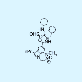 CCCc1cn2c3c(cc(C(=O)N[C@@H](Cc4ccccc4)[C@@H](CNC4CCCCC4)OC=O)cc13)N(C)S(=O)(=O)CC2